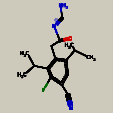 CC(C)c1cc(C#N)c(F)c(C(C)C)c1CC(=O)/N=C/N